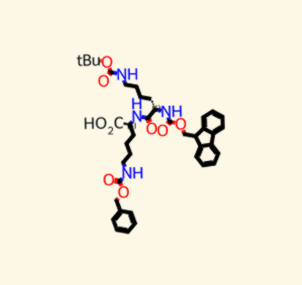 CC(C)(C)OC(=O)NCCCC[C@H](NC(=O)OCC1c2ccccc2-c2ccccc21)C(=O)N[C@@H](CCCCNC(=O)OCc1ccccc1)C(=O)O